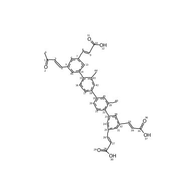 CC(=O)/C=C/c1cc(/C=C/C(=O)O)cc(-c2ccc(-c3ccc(-c4cc(/C=C/C(=O)O)cc(/C=C/C(=O)O)c4)c(C)c3)cc2C)c1